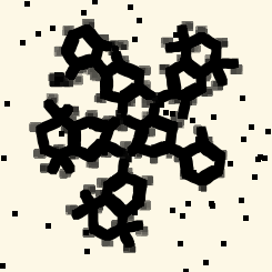 Cc1ccccc1-c1cc2c3c(c1)N(c1cc4c(cc1C)C(C)(C)CCC4(C)C)c1cc4sc5cccc(C(C)(C)C)c5c4cc1B3c1cc3c(cc1N2c1ccc2c(c1)C(C)(C)CCC2(C)C)C(C)(C)CCC3(C)C